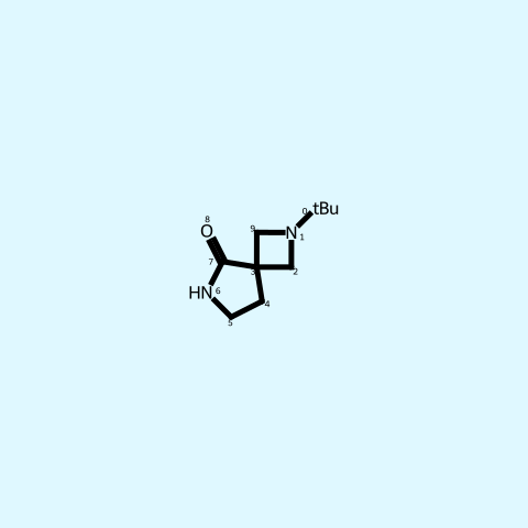 CC(C)(C)N1CC2(CCNC2=O)C1